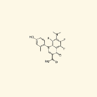 Cc1cc(O)ccc1-n1cc(C(=O)O)c(=O)c2c(F)c(F)c(N(C)C)c(F)c21